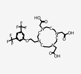 O=C(O)CN1CCCN(CC(=O)O)CCN(CC(=O)O)CCCN(CCOc2cc(C(F)(F)F)cc(C(F)(F)F)c2)CC1